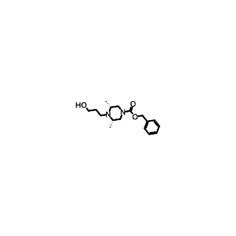 C[C@@H]1CN(C(=O)OCc2ccccc2)C[C@H](C)N1CCCO